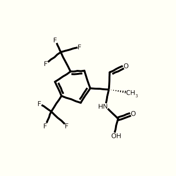 C[C@](C=O)(NC(=O)O)c1cc(C(F)(F)F)cc(C(F)(F)F)c1